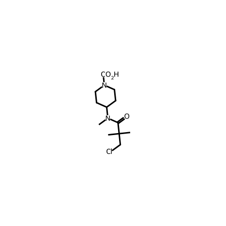 CN(C(=O)C(C)(C)CCl)C1CCN(C(=O)O)CC1